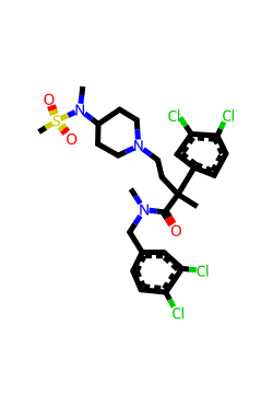 CN(Cc1ccc(Cl)c(Cl)c1)C(=O)C(C)(CCN1CCC(N(C)S(C)(=O)=O)CC1)c1ccc(Cl)c(Cl)c1